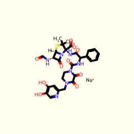 CC1(C)S[C@@H]2[C@@H](NC=O)C(=O)N2[C@@]1(NC(=O)C(NC(=O)N1CCN(Cc2cc(O)c(O)cn2)C(=O)C1=O)c1ccccc1)C(=O)[O-].[Na+]